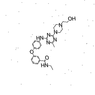 CCNC(=O)c1cccc(Oc2ccc(Nc3nc(C)nc(N4CCN(CCO)CC4)n3)cc2)c1